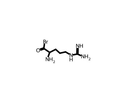 N=C(N)NCCCC(N)C(=O)Br